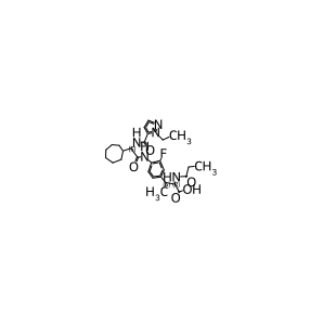 CCC(=O)N[C@@H](C(=O)O)[C@@H](C)c1ccc(NC(=O)[C@@H](NC(=O)c2ccnn2CC)C2CCCCCC2)c(F)c1